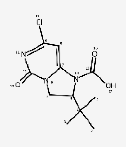 CC(C)(C)C1Cn2c(cc(Cl)nc2=O)N1C(=O)O